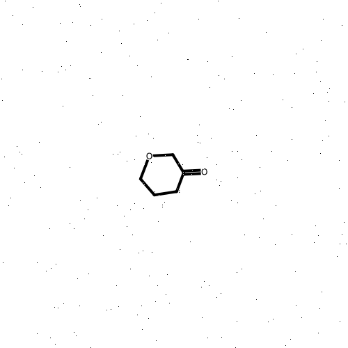 O=C1[C]CCOC1